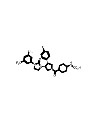 O=C(O)NC1CCC(C(=O)N2C[C@@H](N3CCN(c4cc(C(F)(F)F)cc(C(F)(F)F)c4)C3=O)[C@H](c3ccc(F)cc3)C2)CC1